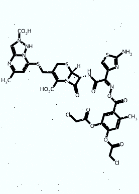 CC1=NC2=CN(C(=O)O)NN2C(SCC2=C(C(=O)O)N3C(=O)[C@@H](NC(=O)/C(=N\OC(=O)c4cc(OC(=O)CCl)c(OC(=O)CCl)cc4C)c4csc(N)n4)[C@H]3SC2)=C1